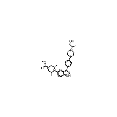 COC(=O)N1C[C@@H](C)N(c2ncc3[nH]nc(-c4ccc(N5CCN(C(C)CO)CC5)cc4)c3n2)[C@@H](C)C1